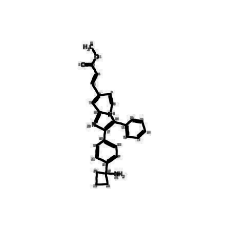 COC(=O)C=Cc1ccn2c(-c3ccccc3)c(-c3ccc(C4(N)CCC4)cc3)nc2c1